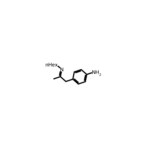 CCCCCCN=C(C)Cc1ccc(N)cc1